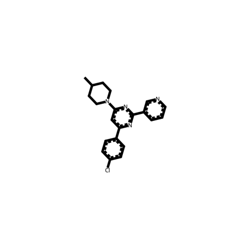 CC1CCN(c2cc(-c3ccc(Cl)cc3)nc(-c3cccnc3)n2)CC1